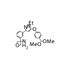 CCn1nc(-c2cccc(C3(N)COC3)c2)cc1Oc1ccc(C(OC)OC)cc1